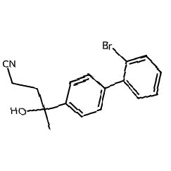 CC(O)(CCC#N)c1ccc(-c2ccccc2Br)cc1